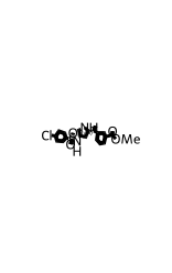 C=C(c1cccc(C(=O)OC)c1)[C@@H]1C[C@@H](NS(=O)(=O)c2ccc(Cl)cc2)CN1